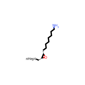 CCCCCCCC[C@H]1O[C@H]1CCCCCCCCN